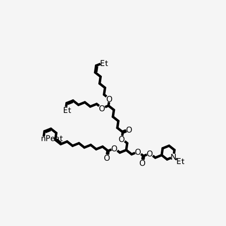 CC/C=C\CCCCOC(CCCCC(=O)OCC(COC(=O)CCCCCCC/C=C\C/C=C\CCCCC)COC(=O)OCC1CCCN(CC)C1)OCCCC/C=C\CC